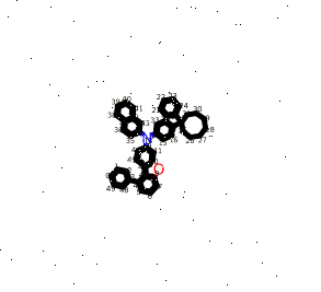 c1ccc(-c2cccc3oc4cc(N(c5ccc(C6(c7ccccc7)CCCCCCC6)cc5)c5ccc6ccccc6c5)ccc4c23)cc1